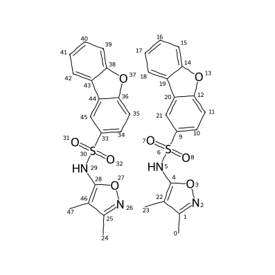 Cc1noc(NS(=O)(=O)c2ccc3oc4ccccc4c3c2)c1C.Cc1noc(NS(=O)(=O)c2ccc3oc4ccccc4c3c2)c1C